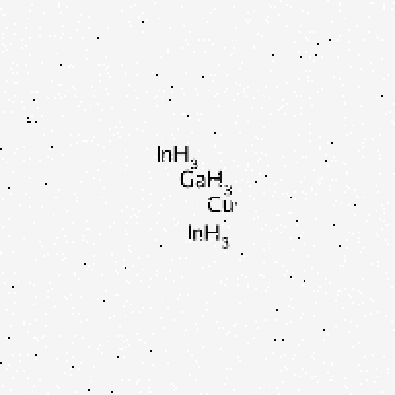 [Cu].[GaH3].[InH3].[InH3]